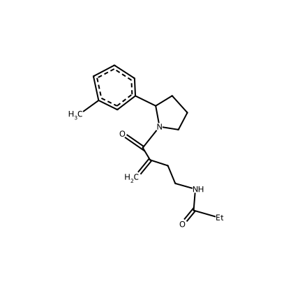 C=C(CCNC(=O)CC)C(=O)N1CCCC1c1cccc(C)c1